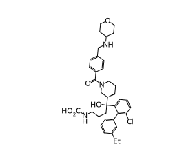 CCc1cccc(-c2c(Cl)cccc2[C@](O)(CCCNC(=O)O)[C@@H]2CCCN(C(=O)c3ccc(CNC4CCOCC4)cc3)C2)c1